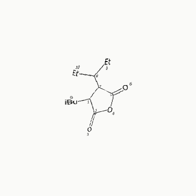 CCC(C)C1C(=O)OC(=O)C1C(CC)CC